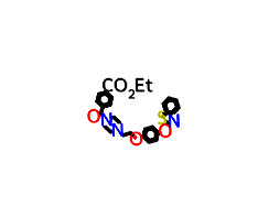 CCOC(=O)c1ccc(C(=O)N2CCN(CCOc3ccc(Oc4nc5ccccc5s4)cc3)CC2)cc1